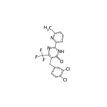 Cc1cccc(-c2nc(C(F)(F)F)c(Cc3ccc(Cl)c(Cl)c3)c(=O)[nH]2)n1